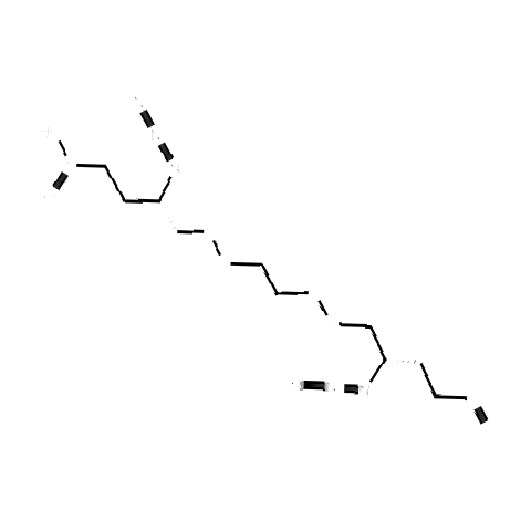 [N-]=[N+]=N[C@@H](CC[S]=O)CSSCCSSC[C@H](CCS(=O)O)N=[N+]=[N-]